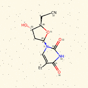 CCc1cn([C@H]2C[C@H](O)[C@@H](CC#N)O2)c(=O)[nH]c1=O